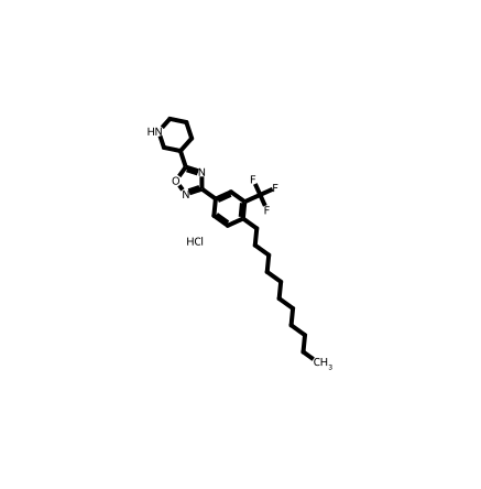 CCCCCCCCCCCc1ccc(-c2noc(C3CCCNC3)n2)cc1C(F)(F)F.Cl